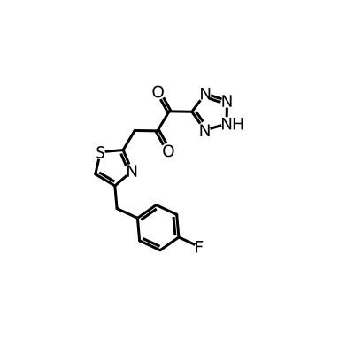 O=C(Cc1nc(Cc2ccc(F)cc2)cs1)C(=O)c1nn[nH]n1